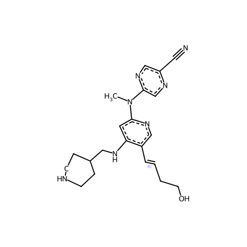 CN(c1cnc(C#N)cn1)c1cc(NCC2CCNCC2)c(/C=C/CCO)cn1